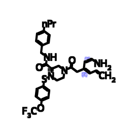 C=C/C=C(\C=C/N)CC(=O)N1CCN(Sc2ccc(OC(F)(F)F)cc2)[C@@H](C(=O)NCc2ccc(CCC)cc2)C1